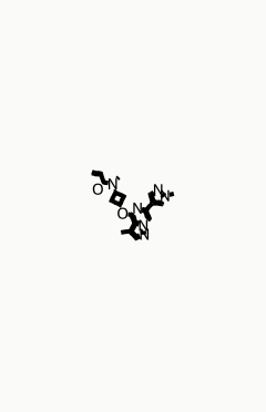 C=CC(=O)N(C)[C@H]1C[C@H](Oc2nc(-c3cnn(C)c3)cn3ncc(C)c23)C1